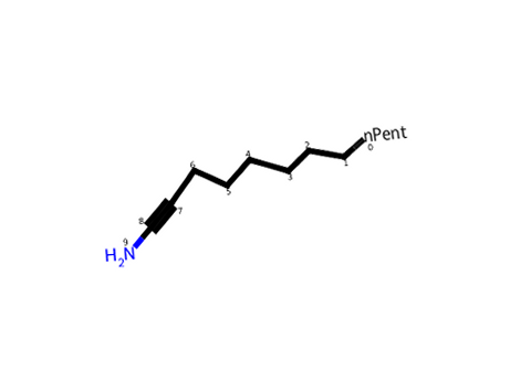 CCCCCCCCCCCC#CN